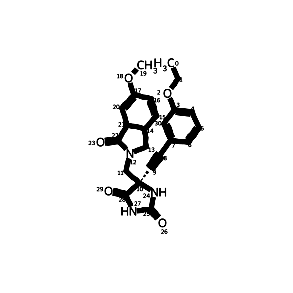 CCOc1cccc(C#C[C@]2(CN3CC4C=CC(OC)=CC4C3=O)NC(=O)NC2=O)c1